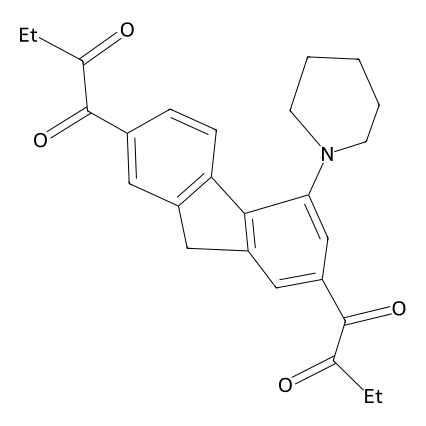 CCC(=O)C(=O)c1ccc2c(c1)Cc1cc(C(=O)C(=O)CC)cc(N3CCCCC3)c1-2